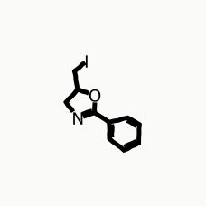 ICC1CN=C(c2ccccc2)O1